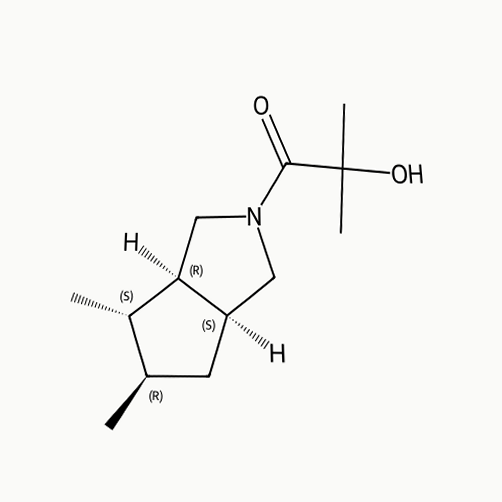 C[C@@H]1[C@H]2CN(C(=O)C(C)(C)O)C[C@H]2C[C@H]1C